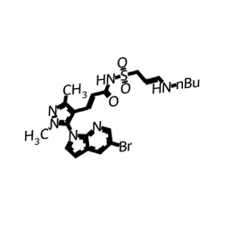 CCCCNC=CCS(=O)(=O)NC(=O)/C=C/c1c(C)nn(C)c1-n1ccc2cc(Br)cnc21